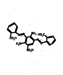 Nc1c(/N=N/c2ccccc2C(=O)O)cc(S(=O)(=O)O)c(N)c1/N=N/c1ccccc1C(=O)O